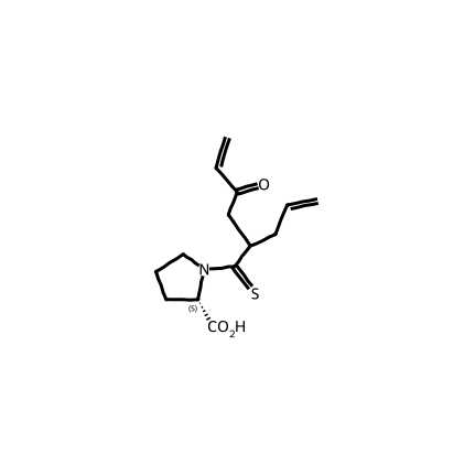 C=CCC(CC(=O)C=C)C(=S)N1CCC[C@H]1C(=O)O